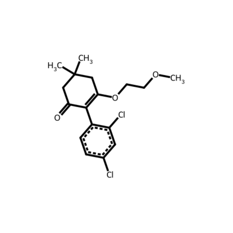 COCCOC1=C(c2ccc(Cl)cc2Cl)C(=O)CC(C)(C)C1